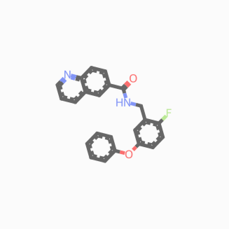 O=C(NCc1cc(Oc2ccccc2)ccc1F)c1ccc2ncccc2c1